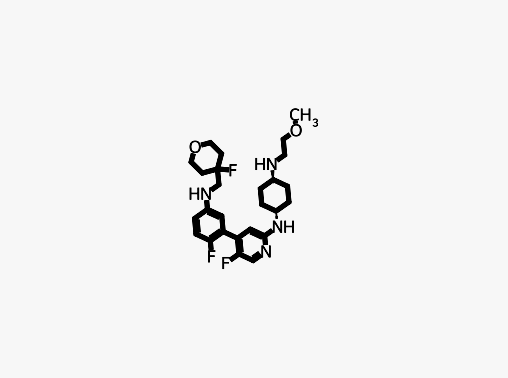 COCCN[C@H]1CC[C@H](Nc2cc(-c3cc(NCC4(F)CCOCC4)ccc3F)c(F)cn2)CC1